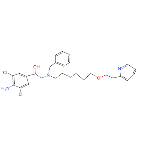 Nc1c(Cl)cc(C(O)CN(CCCCCCOCCc2ccccn2)Cc2ccccc2)cc1Cl